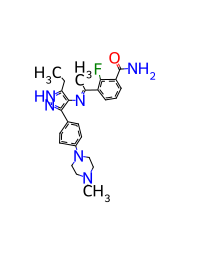 CCc1[nH]nc(-c2ccc(N3CCN(C)CC3)cc2)c1/N=C(\C)c1cccc(C(N)=O)c1F